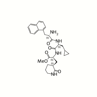 COC(=O)[C@H](C[C@@H]1CCCNC1=O)NC(=O)[C@H](CC1CC1)NC(=O)[C@@H](N)Cc1cccc2ccccc12